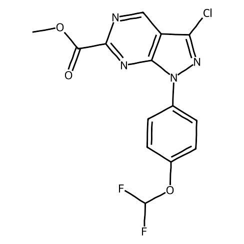 COC(=O)c1ncc2c(Cl)nn(-c3ccc(OC(F)F)cc3)c2n1